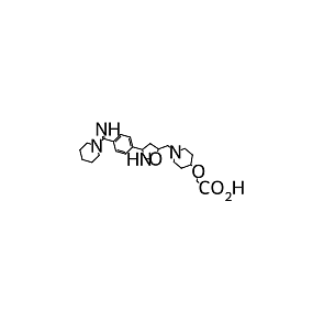 N=C(c1ccc(C2CC(CN3CCC(OCC(=O)O)CC3)ON2)cc1)N1CCCCC1